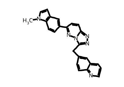 Cn1ccc2cc(-c3ccc4nnc(Cc5ccc6ncccc6c5)n4n3)ccc21